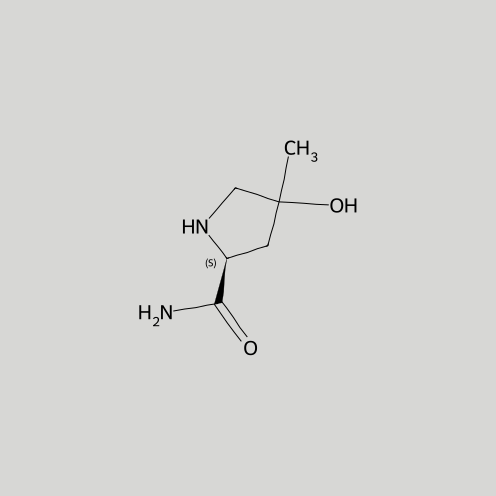 CC1(O)CN[C@H](C(N)=O)C1